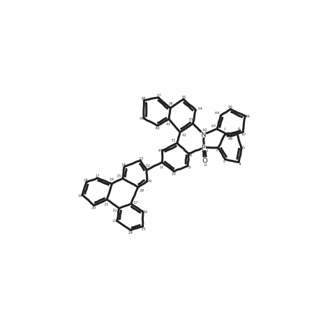 O=P1(c2ccccc2)c2ccc(-c3ccc4c5ccccc5c5ccccc5c4c3)cc2-c2c(ccc3ccccc23)N1c1ccccc1